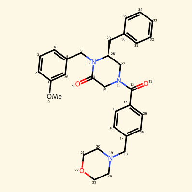 COc1cccc(CN2C(=O)CN(C(=O)c3ccc(CN4CCOCC4)cc3)C[C@@H]2Cc2ccccc2)c1